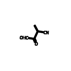 CC(C#N)C(=O)C=O